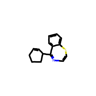 C1=CC(C2=NC=CSc3ccccc32)CCC1